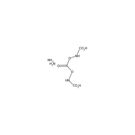 N.N.O=C(O)NOC(=O)ONC(=O)O